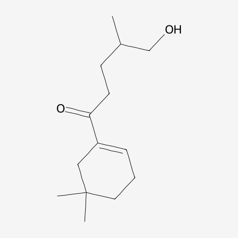 CC(CO)CCC(=O)C1=CCCC(C)(C)C1